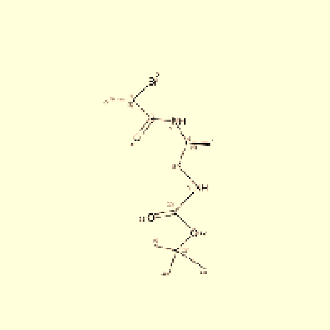 C[C@H](Br)C(=O)N[C@@H](C)CNC(=O)OC(C)(C)C